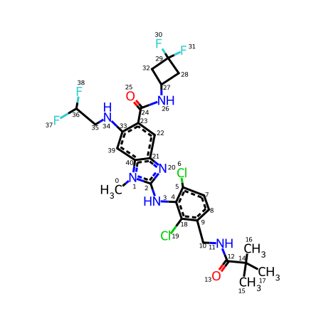 Cn1c(Nc2c(Cl)ccc(CNC(=O)C(C)(C)C)c2Cl)nc2cc(C(=O)NC3CC(F)(F)C3)c(NCC(F)F)cc21